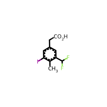 Cc1c(I)cc(CC(=O)O)cc1C(F)F